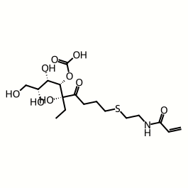 C=CC(=O)NCCSCCCC(=O)[C@@](O)(CC)[C@@H](OC(=O)O)[C@@H](O)[C@H](O)CO